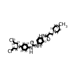 CN1CCN(CCC(=O)Nc2ccc(NC(=O)Nc3ccc(N(CCCl)CCCl)cc3)cc2)CC1